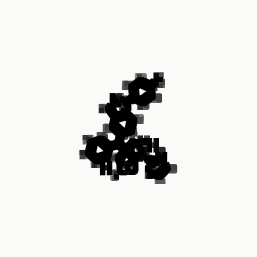 CCC(CC)(C(=O)Nc1nccs1)C(c1ccccc1)c1ccc2c(cnn2-c2ccc(F)cc2)c1